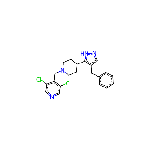 Clc1cncc(Cl)c1CN1CCC(c2[nH]ncc2Cc2ccccc2)CC1